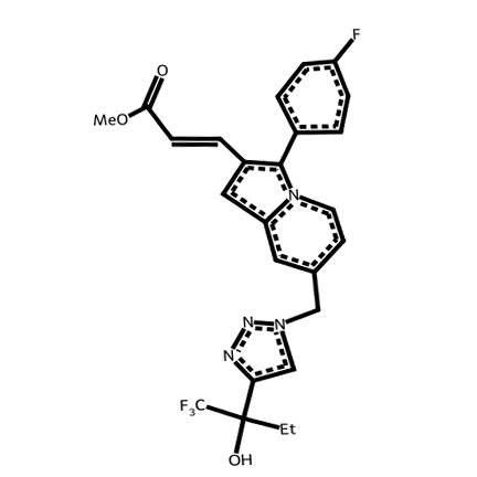 CCC(O)(c1cn(Cc2ccn3c(-c4ccc(F)cc4)c(C=CC(=O)OC)cc3c2)nn1)C(F)(F)F